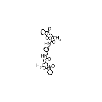 CC(CN1C(=O)C2CCCCC2C1=O)OC(=O)NCc1cccc(CNC(=O)OC(C)CN2C(=O)C3CCCCC3C2=O)c1